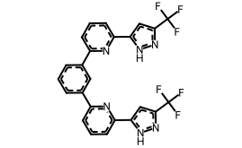 FC(F)(F)c1cc(-c2cccc(-c3cccc(-c4cccc(-c5cc(C(F)(F)F)n[nH]5)n4)c3)n2)[nH]n1